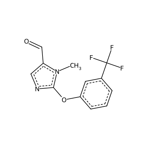 Cn1c(C=O)cnc1Oc1cccc(C(F)(F)F)c1